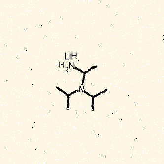 CC(C)N(C(C)C)C(C)N.[LiH]